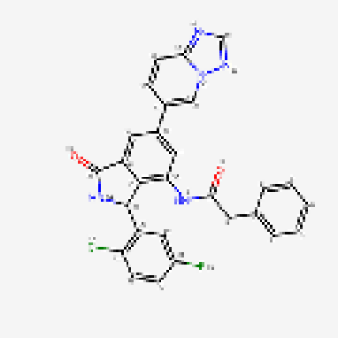 O=C(Cc1ccccc1)Nc1cc(-c2ccc3ncnn3c2)cc2c1C(c1cc(F)ccc1Cl)NC2=O